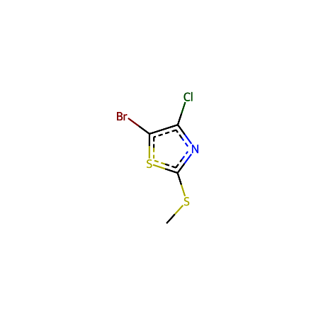 CSc1nc(Cl)c(Br)s1